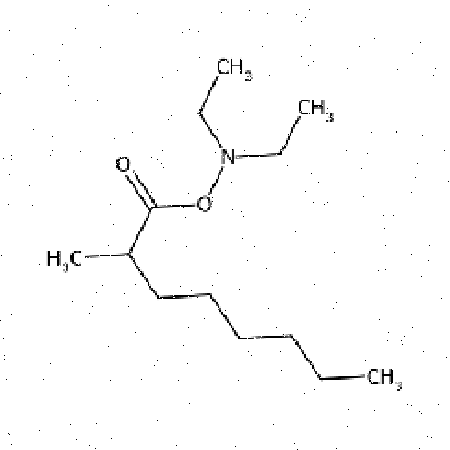 CCCCCCC(C)C(=O)ON(CC)CC